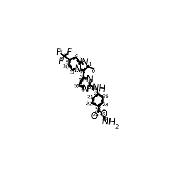 Cc1nc2cc(C(F)(F)F)ccn2c1-c1ccnc(Nc2ccc(C(=O)ON)cc2)n1